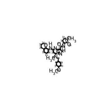 COc1ccc(CN(C)c2cc(Nc3cccc4c3OCCC4)nc3c(C(=O)N[C@@H]4CCN(C)C4=O)cnn23)cc1